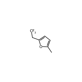 Cc1ccc(CC(F)(F)F)o1